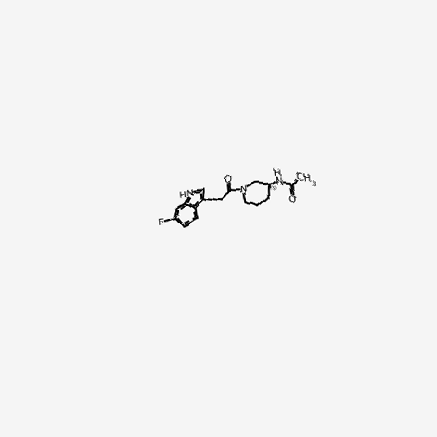 CC(=O)N[C@H]1CCCN(C(=O)Cc2c[nH]c3cc(F)ccc23)C1